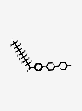 C[C@H]1CC[C@H]([C@H]2CC[C@H](c3ccc(C(=O)C(F)(F)C(F)(F)C(F)(F)C(F)(F)C(F)(F)C(F)(F)C(F)(F)F)cc3)CC2)CC1